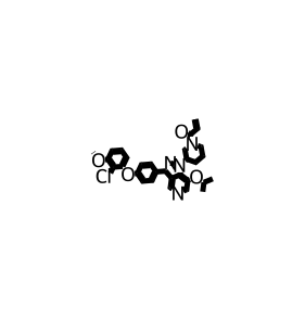 C=CC(=O)N1CCCC(n2nc(-c3ccc(Oc4cccc(OC)c4Cl)cc3)c3cncc(OC(C)C)c32)C1